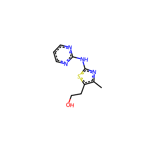 Cc1nc(Nc2ncccn2)sc1CCO